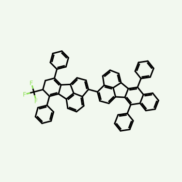 FC(F)(F)C1CC(c2ccccc2)=C2C(=C1c1ccccc1)c1cccc3c(-c4ccc5c6c(cccc46)-c4c-5c(-c5ccccc5)c5ccccc5c4-c4ccccc4)ccc2c13